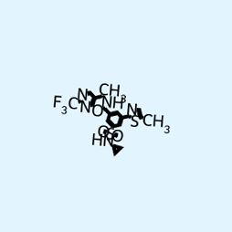 Cc1cnc(-c2cc(C(=O)NC(C)c3cnc(C(F)(F)F)nc3)cc(S(=O)(=O)NC3CC3)c2)s1